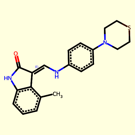 Cc1cccc2c1/C(=C\Nc1ccc(N3CCSCC3)cc1)C(=O)N2